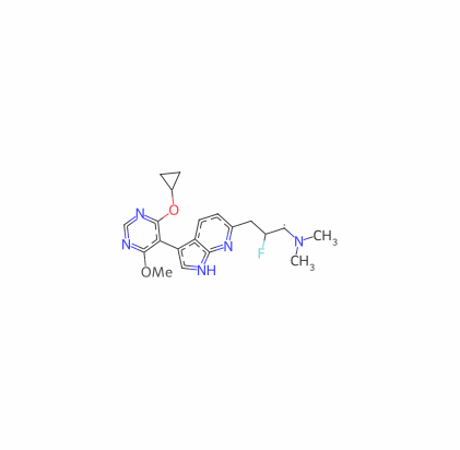 COc1ncnc(OC2CC2)c1-c1c[nH]c2nc(CC(F)[CH]N(C)C)ccc12